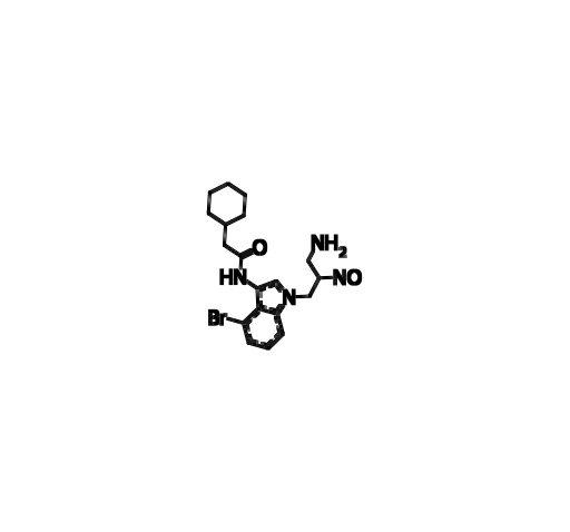 NCC(Cn1cc(NC(=O)CC2CCCCC2)c2c(Br)cccc21)N=O